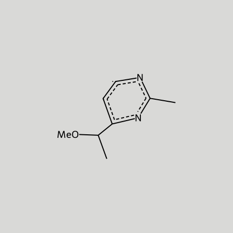 COC(C)c1c[c]nc(C)n1